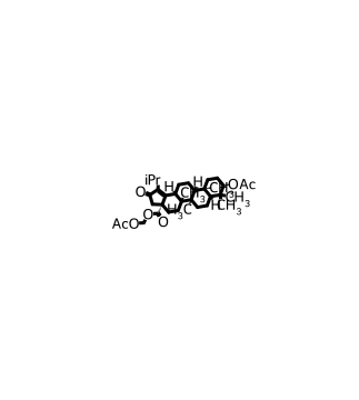 CC(=O)OCOC(=O)[C@@]12CC[C@]3(C)[C@H](CC[C@@H]4[C@@]5(C)CC[C@H](OC(C)=O)C(C)(C)[C@@H]5CC[C@]43C)C1=C(C(C)C)C(=O)C2